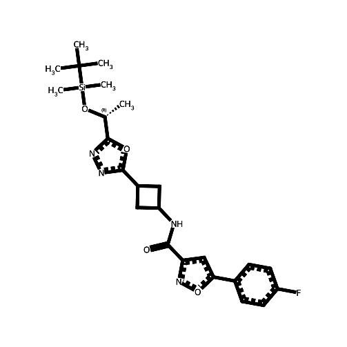 C[C@@H](O[Si](C)(C)C(C)(C)C)c1nnc(C2CC(NC(=O)c3cc(-c4ccc(F)cc4)on3)C2)o1